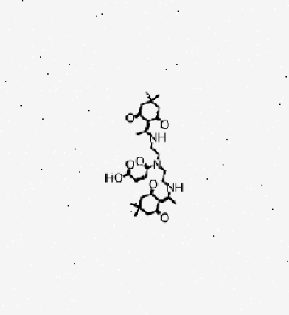 CC(NCCN(CCNC(C)=C1C(=O)CC(C)(C)CC1=O)C(=O)/C=C\C(=O)O)=C1C(=O)CC(C)(C)CC1=O